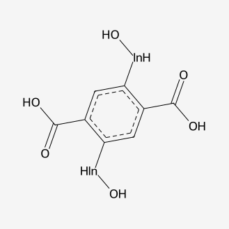 O=C(O)c1c[c]([InH][OH])c(C(=O)O)c[c]1[InH][OH]